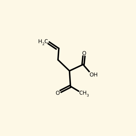 C=CCC(C(C)=O)C(=O)O